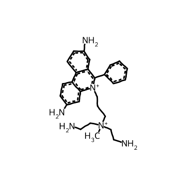 C[N+](CCN)(CCN)CCC[n+]1c(-c2ccccc2)c2cc(N)ccc2c2ccc(N)cc21